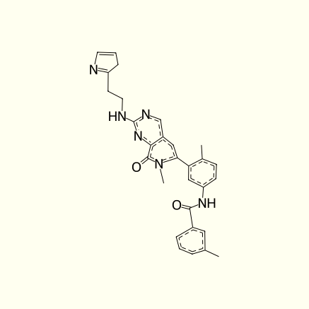 Cc1cccc(C(=O)Nc2ccc(C)c(-c3cc4cnc(NCCC5=NC=CC5)nc4c(=O)n3C)c2)c1